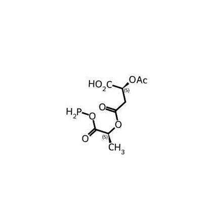 CC(=O)O[C@@H](CC(=O)O[C@@H](C)C(=O)OP)C(=O)O